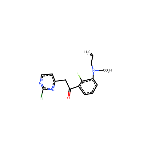 C=CCN(C(=O)O)c1cccc(C(=O)Cc2ccnc(Cl)n2)c1F